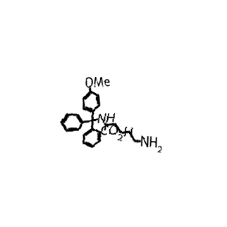 COc1ccc(C(N[C@@H](CCCCN)C(=O)O)(c2ccccc2)c2ccccc2)cc1